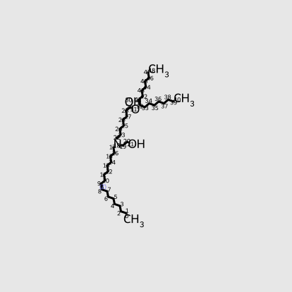 CCCCCCCC/C=C\CCCCCCCCN(CCO)CCCCCCCC(O)OC(CCCCCCCC)CCCCCCCC